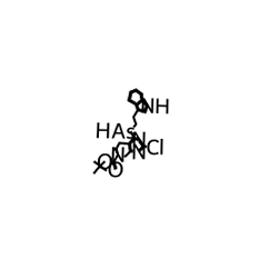 CC(C)(C)OC(=O)N1CCc2c(nc(Cl)nc2[AsH]CCc2c[nH]c3ccccc23)C1